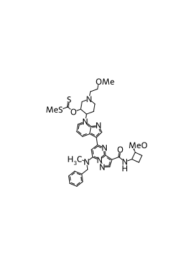 COCCN1CCC(n2cccc3c(-c4cc(N(C)Cc5ccccc5)n5ncc(C(=O)NC6CC[C@@H]6OC)c5n4)cnc2-3)C(OC(=S)SC)C1